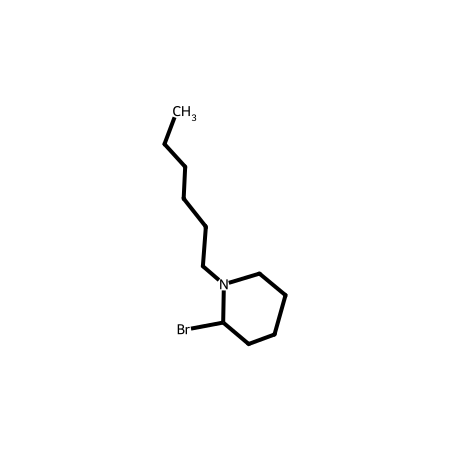 CCCCCCN1CCCCC1Br